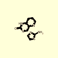 Nc1nccs1.O=c1ncc2ncccc2[nH]1